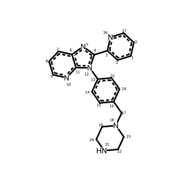 c1ccc(-c2nc3cccnc3n2-c2ccc(CN3CCNCC3)cc2)nc1